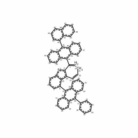 C=C(c1sc2cccc(-c3c4ccccc4c(-c4ccccc4)c4ccccc34)c2c1/C=C\C)c1c2ccccc2c(-c2cccc3ccccc23)c2ccccc12